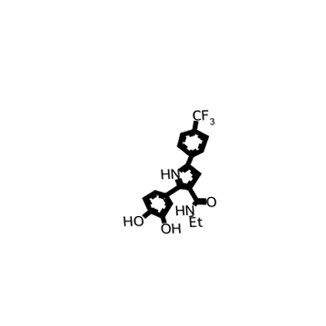 CCNC(=O)c1cc(-c2ccc(C(F)(F)F)cc2)[nH]c1-c1ccc(O)c(O)c1